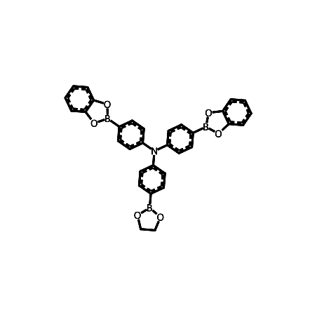 c1ccc2c(c1)OB(c1ccc(N(c3ccc(B4OCCO4)cc3)c3ccc(B4Oc5ccccc5O4)cc3)cc1)O2